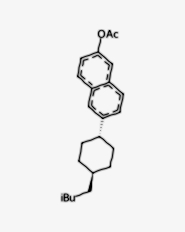 CCC(C)C[C@H]1CC[C@H](c2ccc3cc(OC(C)=O)ccc3c2)CC1